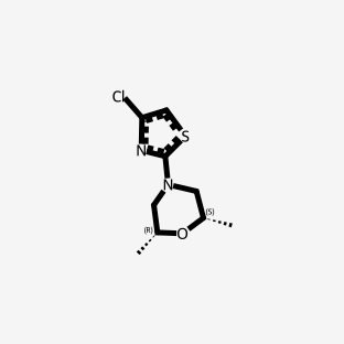 C[C@@H]1CN(c2nc(Cl)cs2)C[C@H](C)O1